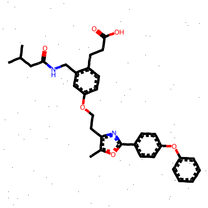 Cc1oc(-c2ccc(Oc3ccccc3)cc2)nc1CCOc1ccc(CCC(=O)O)c(CNC(=O)CC(C)C)c1